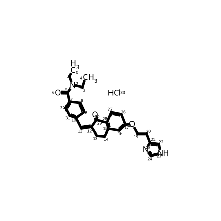 CCN(CC)C(=O)c1ccc(C=C2CCc3cc(OCCc4c[nH]cn4)ccc3C2=O)cc1.Cl